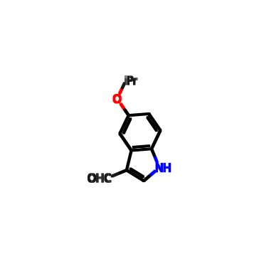 CC(C)Oc1ccc2[nH]cc(C=O)c2c1